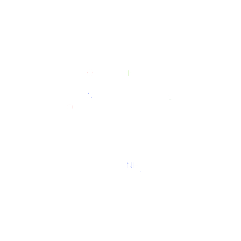 Nc1cc([N+](=O)[O-])c(F)c(Cl)c1F